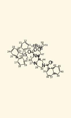 CC(C)(C)OC(=O)N[C@@H](CSC(c1ccccc1)(c1ccccc1)c1ccccc1)CN1CCN(C(=O)c2cccc3ccccc23)C[C@@H]1CCOC1CC1